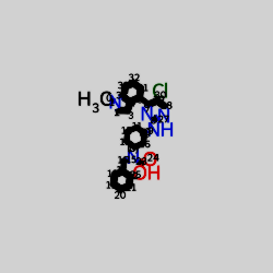 Cn1ccc2c(-c3nc(N[C@@H]4CCC[C@H](N(Cc5ccccc5)C(=O)O)C4)ncc3Cl)cccc21